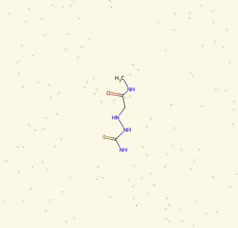 CNC(=O)CNNC([NH])=S